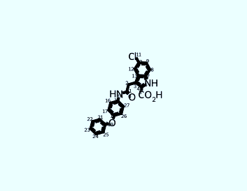 O=C(Cc1c(C(=O)O)[nH]c2ccc(Cl)cc12)Nc1ccc(Oc2ccccc2)cc1